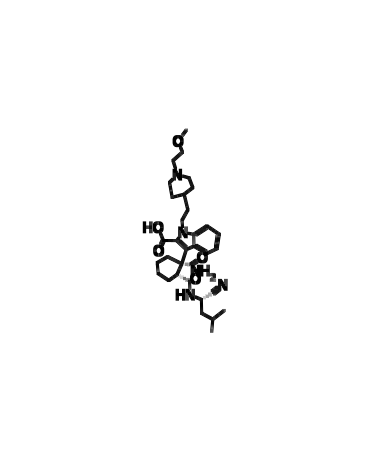 COCCN1CCC(CCn2c(C(=O)O)c([C@]3(C(N)=O)CCCC[C@H]3C(=O)N[C@H](C#N)CC(C)C)c3ccccc32)CC1